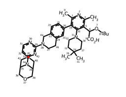 Cc1nc(C)c(C(OC(C)(C)C)C(=O)O)c(N2CCC(C)(C)CC2)c1-c1ccc2c(c1)CCN(c1nccc(N3C4COCC3COC4)n1)C2